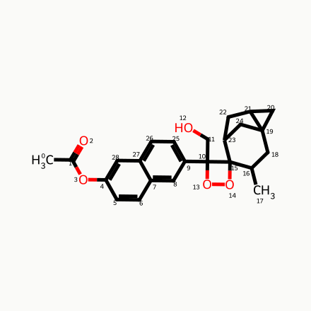 CC(=O)Oc1ccc2cc(C3(CO)OOC34C(C)CC35CC3CC4C5)ccc2c1